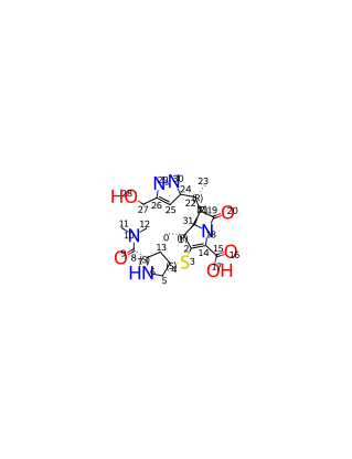 C[C@H]1C(S[C@@H]2CN[C@H](C(=O)N(C)C)C2)=C(C(=O)O)N2C(=O)[C@H]([C@@H](C)C3C=C(CO)N=N3)C12